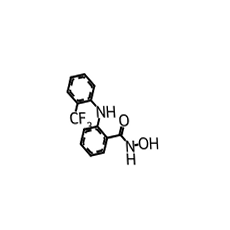 O=C(NO)c1ccccc1Nc1ccccc1C(F)(F)F